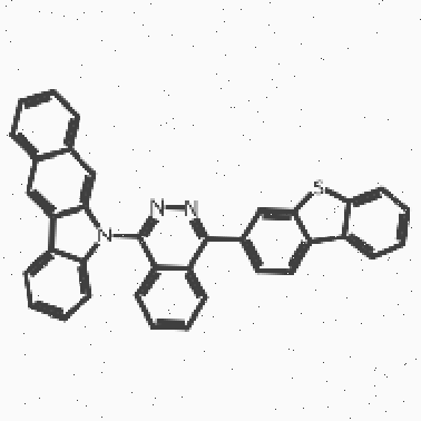 c1ccc2cc3c(cc2c1)c1ccccc1n3-c1nnc(-c2ccc3c(c2)sc2ccccc23)c2ccccc12